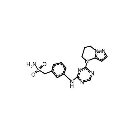 NS(=O)(=O)Cc1cccc(Nc2ncnc(N3CCCn4nccc43)n2)c1